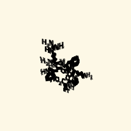 CC(C)[C@H](NC(=O)[C@@H]1CCCN1C(=O)[C@H](CCCCN)NC(=O)[C@H](Cc1ccccc1)NC(=O)[C@@H](Cc1c[nH]c2ccccc12)NC(=O)[C@@H](N)CCCNC(=N)N)C(=O)O